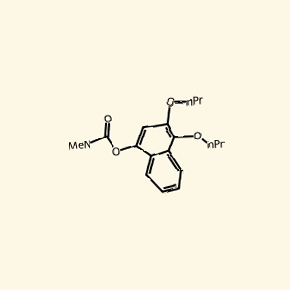 CCCOc1cc(OC(=O)NC)c2ccccc2c1OCCC